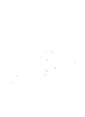 CCc1cccc(CNC[C@H](O)[C@@H](Cc2cc(F)cc(F)c2)NC(=O)c2ccc3c(c2)CC2(CC3)OCCO2)c1